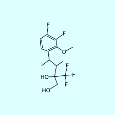 COc1c(C(C)C(C)C(O)(CO)C(F)(F)F)ccc(F)c1F